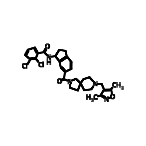 Cc1noc(C)c1CN1CCC2(CC1)CCN(C(=O)c1ccc3c(c1)C(NC(=O)c1cccc(Cl)c1Cl)CC3)C2